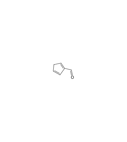 O=CC1=CCC=C1